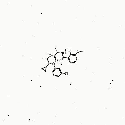 COc1ccnc(C(=O)N[C@@H](C)C(=O)O[C@@H](C)[C@H](Oc2cccc(Cl)c2)C2CC2)c1O